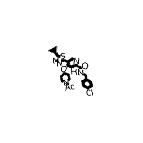 CC(=O)N1CCC(Oc2cc(C(=O)NCc3ccc(Cl)cc3)ncc2-c2nnc(C3CC3)s2)CC1